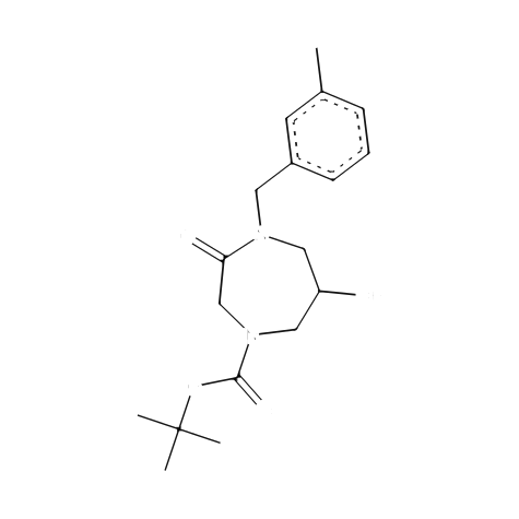 Cc1cccc(CN2CC(O)CN(C(=O)OC(C)(C)C)CC2=O)c1